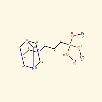 CCO[Si](CCC[N+]12CN3CN(CP(C3)C1)C2)(OCC)OCC